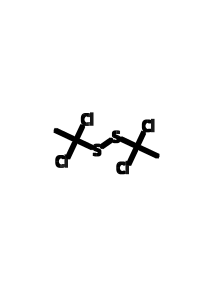 CC(Cl)(Cl)SSC(C)(Cl)Cl